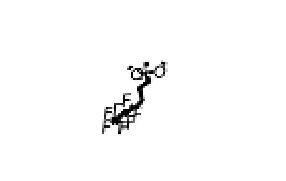 CO[Si](C)(CCCC(F)(F)C(F)(F)C(F)(F)F)OC